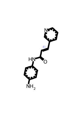 Nc1ccc(NC(=O)/C=C/c2cccnc2)cc1